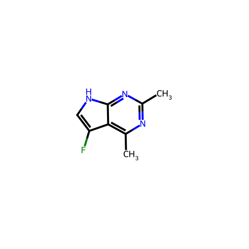 Cc1nc(C)c2c(F)c[nH]c2n1